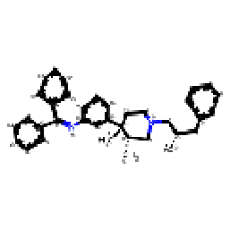 CC(=O)[C@@H](Cc1ccccc1)CN1CC[C@@](C)(c2cccc(N=C(c3ccccc3)c3ccccc3)c2)[C@@H](C)C1